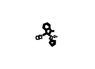 CC1C2C=CC=CC2C(C)[CH]1[Zr+2][C]1=CC=CC1.[Cl-].[Cl-]